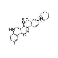 Cc1ccc2[nH]cc(C(=O)Nc3ccc(N4C5CCCC4CC5)cc3C(F)(F)F)c(=O)c2c1